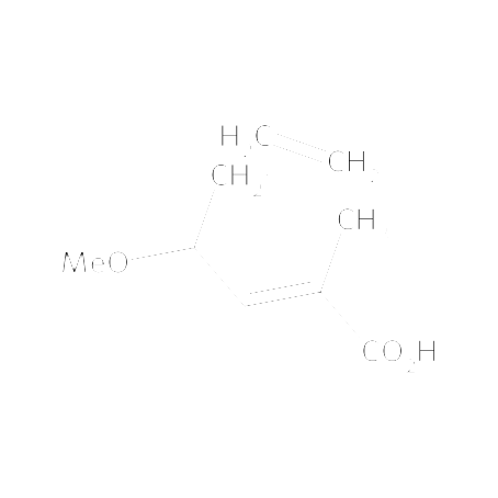 C=C.[CH2]C(C=C(C)C(=O)O)OC